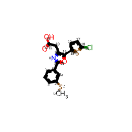 CSc1cccc(-c2nc(CC(=O)O)c(-c3ccc(Cl)s3)o2)c1